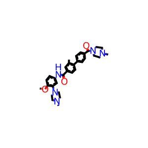 COc1ccc(NC(=O)c2ccc(-c3ccc(C(=O)N4CCN(C)CC4)cc3)c(C)c2)cc1N1CCN(C)CC1